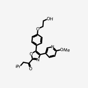 COc1ccc(-c2nc(C(=O)CC(C)C)oc2-c2ccc(OCCO)cc2)cn1